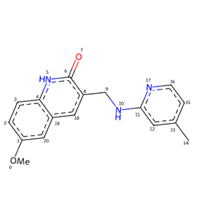 COc1ccc2[nH]c(=O)c(CNc3cc(C)ccn3)cc2c1